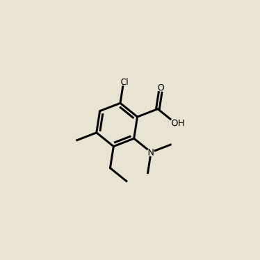 CCc1c(C)cc(Cl)c(C(=O)O)c1N(C)C